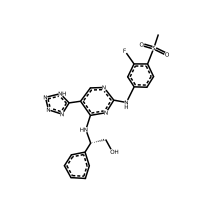 CS(=O)(=O)c1ccc(Nc2ncc(-c3nnn[nH]3)c(N[C@H](CO)c3ccccc3)n2)cc1F